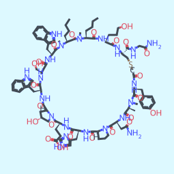 CCCC[C@H]1C(=O)N(C)[C@@H](CCCC)C(=O)N[C@@H](CCCO)C(=O)N[C@H](C(=O)NCC(N)=O)CSCC(=O)N[C@@H](Cc2ccc(O)cc2)C(=O)N(C)[C@@H](C)C(=O)N[C@@H](CC(N)=O)C(=O)N2CCC[C@H]2C(=O)N[C@@H](Cc2c[nH]cn2)C(=O)N[C@@H](CCC(=O)O)C(=O)N2C[C@H](O)C[C@H]2C(=O)N[C@@H](Cc2c[nH]c3ccccc23)C(=O)N[C@@H](CO)C(=O)N[C@@H](Cc2c[nH]c3ccccc23)C(=O)N1C